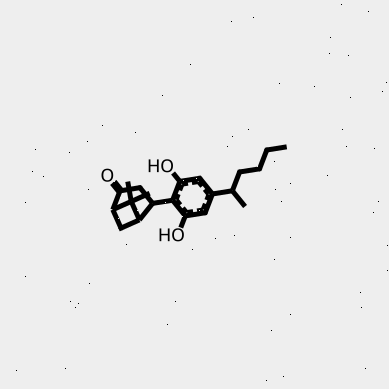 CCCCC(C)c1cc(O)c(C2CC(=O)C3CC2C3(C)C)c(O)c1